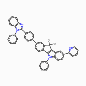 CCC1(CC)c2cc(-c3ccc(-c4nc5ccccc5n4-c4ccccc4)cc3)ccc2-c2c1c1cc(-c3ccccn3)ccc1n2-c1ccccc1